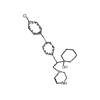 OC1(C(CN2CCNCC2)c2ccc(-c3ccc(Cl)cc3)cc2)CCCCC1